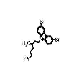 CC(C)CCCC(C)CCn1c2ccc(Br)cc2c2cc(Br)ccc21